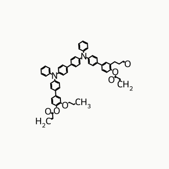 C=CC(=O)Oc1ccc(-c2ccc(N(c3ccccc3)c3ccc(-c4ccc(N(c5ccccc5)c5ccc(-c6ccc(OC(=O)C=C)c(OCCC)c6)cc5)cc4)cc3)cc2)cc1CCC=O